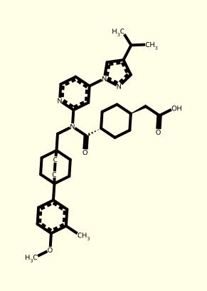 COc1ccc(C23CCC(CN(c4cc(-n5cc(C(C)C)cn5)ccn4)C(=O)[C@H]4CC[C@H](CC(=O)O)CC4)(CC2)CC3)cc1C